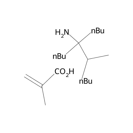 C=C(C)C(=O)O.CCCCC(C)C(N)(CCCC)CCCC